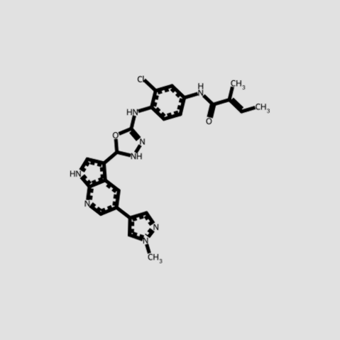 C/C=C(\C)C(=O)Nc1ccc(NC2=NNC(c3c[nH]c4ncc(-c5cnn(C)c5)cc34)O2)c(Cl)c1